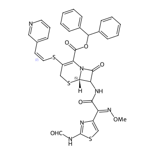 CON=C(C(=O)NC1C(=O)N2C(C(=O)OC(c3ccccc3)c3ccccc3)=C(S/C=C\c3cccnc3)CS[C@@H]12)c1csc(NC=O)n1